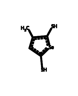 Cc1cc(S)[se]c1S